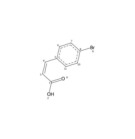 O=C(O)/C=C\c1ccc(Br)cc1